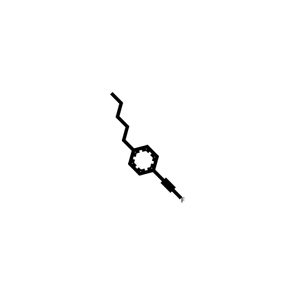 CCCCCc1ccc(C#CF)cc1